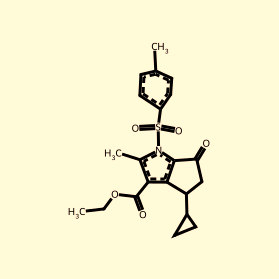 CCOC(=O)c1c2c(n(S(=O)(=O)c3ccc(C)cc3)c1C)C(=O)CC2C1CC1